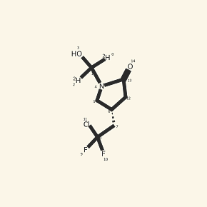 [2H]C([2H])(O)N1C[C@@H](CC(F)(F)Cl)CC1=O